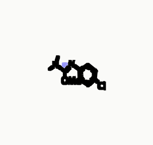 CO/C(=N\c1ccc(Cl)cc1)N(C)C